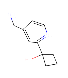 NCc1ccnc(C2(O)CCC2)c1